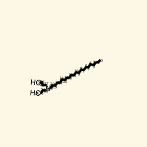 CCCCCCCCCCCCCCCCCCCCC=CN(CCCO)CCCO